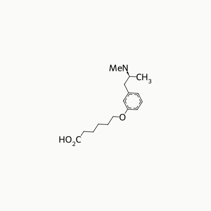 CN[C@@H](C)Cc1cccc(OCCCCCC(=O)O)c1